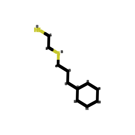 SCCSCCCC1CCCCC1